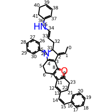 C/C=C1/C2=C(CCc3c2oc2c3C=C(/C=C\c3ccccc3)CC2)N(c2ccccc2)C1C/C=C/NC1=CC=CCC1